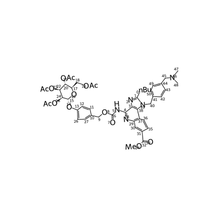 CCCCc1nc2c(NC(=O)OCc3ccc(O[C@H]4O[C@H](COC(C)=O)[C@@H](OC(C)=O)[C@H](OC(C)=O)[C@@H]4OC(C)=O)cc3)nc3cc(C(=O)OC)ccc3c2n1Cc1ccc(CN(C)C)cc1